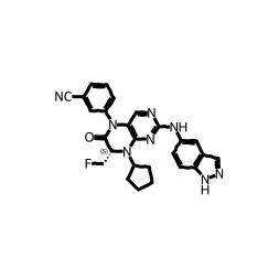 N#Cc1cccc(N2C(=O)[C@@H](CF)N(C3CCCC3)c3nc(Nc4ccc5[nH]ncc5c4)ncc32)c1